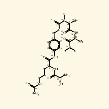 CC(C)[C@H](N)C(=O)N[C@@H](CCCNC(N)=O)C(=O)Nc1ccc(COC(=O)N(C)[C@H](C(=O)N[C@H](C(=O)N(C)C)C(C)C)C(C)C)cc1